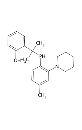 Cc1ccc(PC(C)(C)c2ccccc2O)c(N2CCCCC2)c1